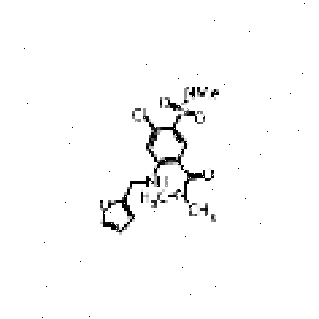 CNS(=O)(=O)c1cc(C(=O)N(C)C)c(NCc2ccco2)cc1Cl